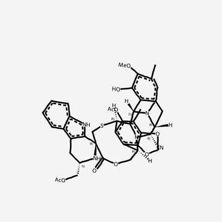 COc1c(C)cc2c(c1O)[C@H]1C3[C@@H]4SC[C@]5(N[C@H](COC(C)=O)Cc6c5[nH]c5ccccc65)C(=O)OC[C@@H](c5c6c(c(C)c(OC(C)=O)c54)OCO6)N3[C@@H](C#N)[C@@H](C2)N1C